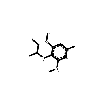 CCC(C)Oc1c(OC)cc(C)cc1OC